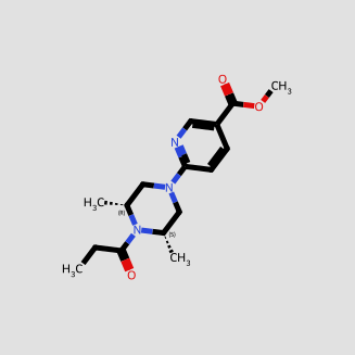 CCC(=O)N1[C@H](C)CN(c2ccc(C(=O)OC)cn2)C[C@@H]1C